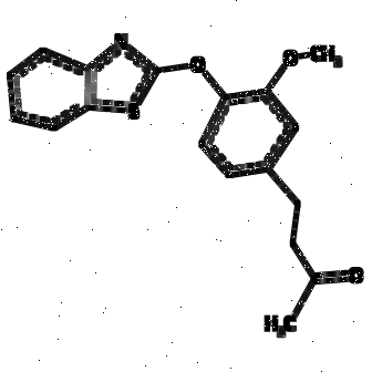 COc1cc(CCC(C)=O)ccc1Oc1nc2ccccc2s1